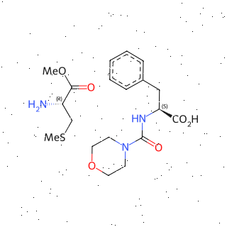 COC(=O)[C@@H](N)CSC.O=C(O)[C@H](Cc1ccccc1)NC(=O)N1CCOCC1